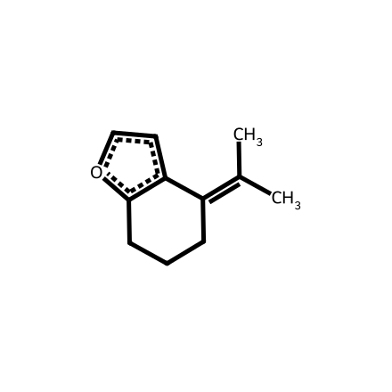 CC(C)=C1CCCc2occc21